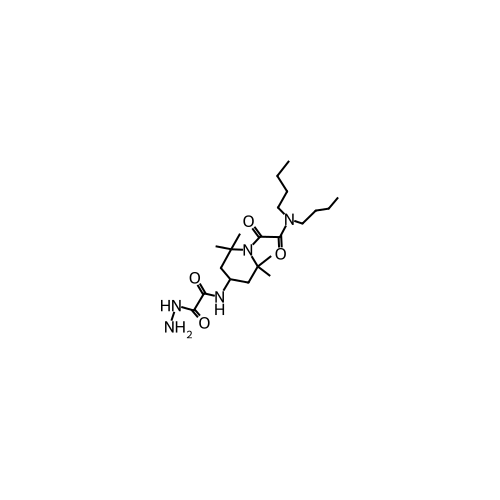 CCCCN(CCCC)C(=O)C(=O)N1C(C)(C)CC(NC(=O)C(=O)NN)CC1(C)C